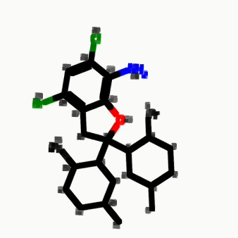 CC1CCC(C(C)C)C(C2(C3CC(C)CCC3C(C)C)Cc3c(Br)cc(Cl)c(N)c3O2)C1